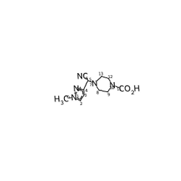 Cn1ccc(C(C#N)N2CCN(C(=O)O)CC2)n1